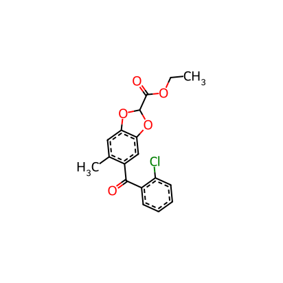 CCOC(=O)C1Oc2cc(C)c(C(=O)c3ccccc3Cl)cc2O1